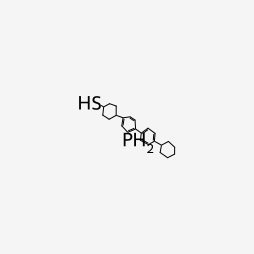 Pc1cc(C2CCC(S)CC2)ccc1-c1ccc(C2CCCCC2)cc1